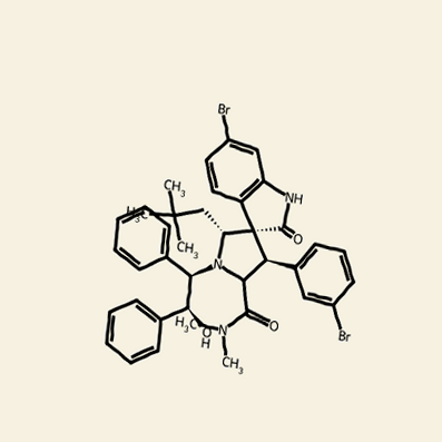 CN(C)C(=O)C1[C@H](c2cccc(Br)c2)[C@@]2(C(=O)Nc3cc(Br)ccc32)[C@@H](CC(C)(C)C)N1[C@H](c1ccccc1)[C@@H](O)c1ccccc1